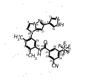 Cc1cc(C)c(-n2ccn3nc(-c4cn[nH]c4)cc23)cc1NC(=O)c1cc(C#N)cc(S(F)(F)(F)(F)F)c1